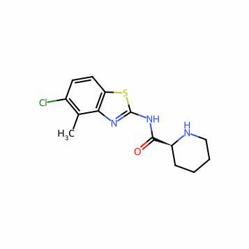 Cc1c(Cl)ccc2sc(NC(=O)[C@@H]3CCCCN3)nc12